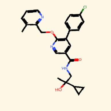 Cc1cccnc1COc1ncc(C(=O)NCC(C)(O)C2CC2)cc1-c1ccc(Cl)cc1